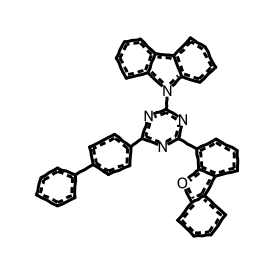 c1ccc(-c2ccc(-c3nc(-c4cccc5c4oc4ccccc45)nc(-n4c5ccccc5c5ccccc54)n3)cc2)cc1